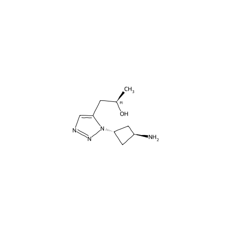 C[C@@H](O)Cc1cnnn1[C@H]1C[C@H](N)C1